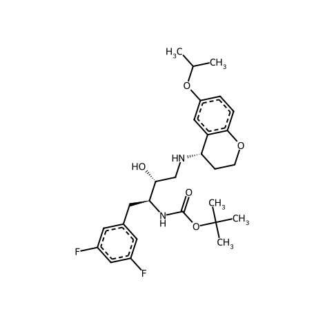 CC(C)Oc1ccc2c(c1)[C@@H](NC[C@@H](O)[C@H](Cc1cc(F)cc(F)c1)NC(=O)OC(C)(C)C)CCO2